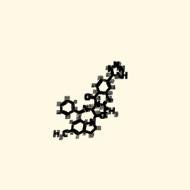 Cc1cc2c3c(c1)C(c1ccccc1)=NC(n1c(C)nc4cc(-c5nnn[nH]5)ccc4c1=O)C(=O)N3CC2